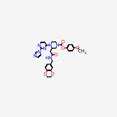 COc1ccc(OC(=O)N2CCN(c3ccnc(-n4ccnc4)n3)C(CC(=O)NCc3ccc4c(c3)OCCO4)C2)cc1